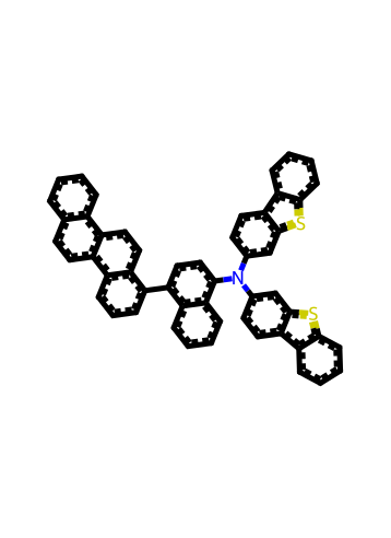 c1ccc2c(c1)ccc1c3cccc(-c4ccc(N(c5ccc6c(c5)sc5ccccc56)c5ccc6c(c5)sc5ccccc56)c5ccccc45)c3ccc21